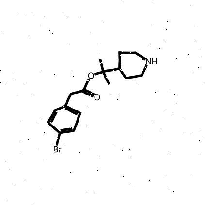 CC(C)(OC(=O)Cc1ccc(Br)cc1)C1CCNCC1